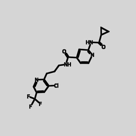 O=C(NCCCc1ncc(C(F)(F)F)cc1Cl)c1ccnc(NC(=O)C2CC2)c1